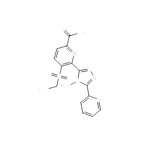 CCS(=O)(=O)c1ccc(C(=O)O)nc1-c1nnc(-c2ccccn2)n1C